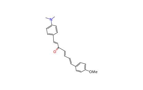 COc1ccc(C=CC=CC(=O)C=Cc2ccc(N(C)C)cc2)cc1